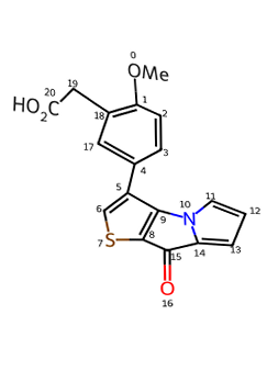 COc1ccc(-c2csc3c2-n2cccc2C3=O)cc1CC(=O)O